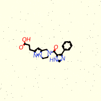 O=C(O)CCc1cc2n(n1)CCN(C(=O)c1[nH]cnc1-c1ccccc1)C2